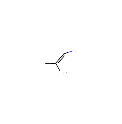 CC/C(=C/N)SC